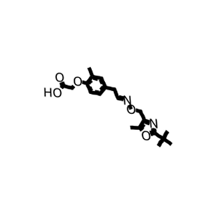 Cc1cc(CC=NOCc2nc(C(C)(C)C)oc2C)ccc1OCC(=O)O